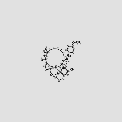 COc1ccc(N[C@H]2CCCCCS(=O)(=O)NC(=O)c3ccc4c(c3)N(C[C@@H]3CC[C@H]32)C[C@@]2(CCCc3cc(Cl)ccc32)CO4)cc1